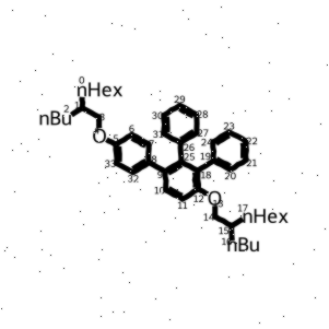 CCCCCCC(CCCC)COc1ccc(-c2ccc(OCC(CCCC)CCCCCC)c(-c3ccccc3)c2-c2ccccc2)cc1